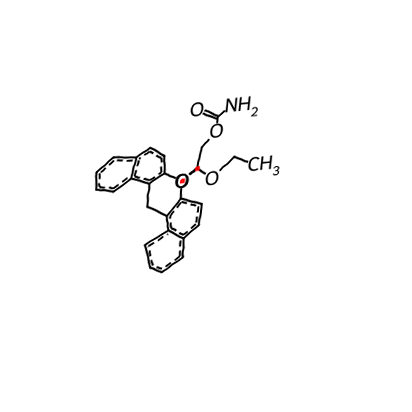 CCOCOc1ccc2ccccc2c1Cc1c(OCCOC(N)=O)ccc2ccccc12